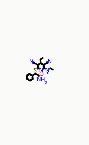 [CH2]CN(C)c1nc(SC(C(N)=O)c2ccccc2)c(C#N)c(CC)c1C#N